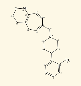 Cc1ccccc1C1CCN(CC2=CCC3=C(C=C2)NCCC3)CC1